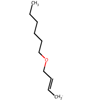 [CH2]C=CCOCCCCCC